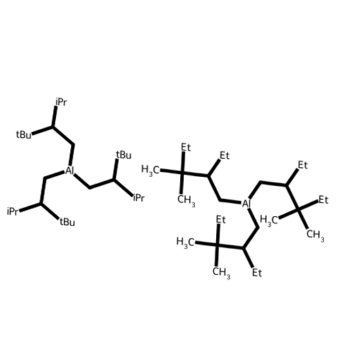 CC(C)C([CH2][Al]([CH2]C(C(C)C)C(C)(C)C)[CH2]C(C(C)C)C(C)(C)C)C(C)(C)C.CCC([CH2][Al]([CH2]C(CC)C(C)(C)CC)[CH2]C(CC)C(C)(C)CC)C(C)(C)CC